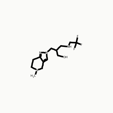 CN1CCc2nn(CC(CO)CNCC(F)(F)F)cc2C1